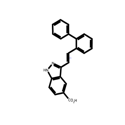 O=C(O)c1ccc2[nH]nc(/C=C/c3ccccc3-c3ccccc3)c2c1